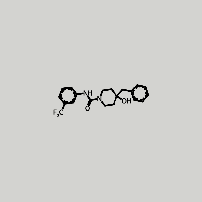 O=C(Nc1cccc(C(F)(F)F)c1)N1CCC(O)(Cc2ccccc2)CC1